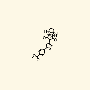 COC(=O)c1ccc(-c2cc(C3C(=O)[C@@H]4[C@H](C3=O)[C@H]3CC[C@@H]4O3)c(C)s2)cc1